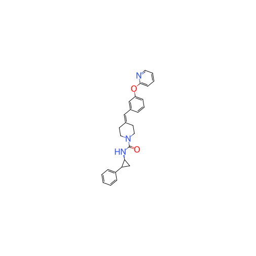 O=C(N[C@H]1CC1c1ccccc1)N1CCC(=Cc2cccc(Oc3ccccn3)c2)CC1